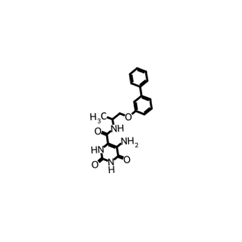 CC(COc1cccc(-c2ccccc2)c1)NC(=O)c1[nH]c(=O)[nH]c(=O)c1N